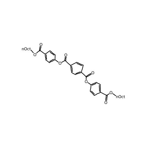 CCCCCCCCOC(=O)c1ccc(OC(=O)c2ccc(C(=O)Oc3ccc(C(=O)OCCCCCCCC)cc3)cc2)cc1